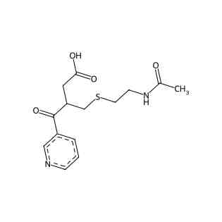 CC(=O)NCCSCC(CC(=O)O)C(=O)c1cccnc1